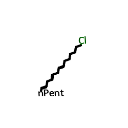 CCCCCC=CCC=CCC=CCCCCCCCl